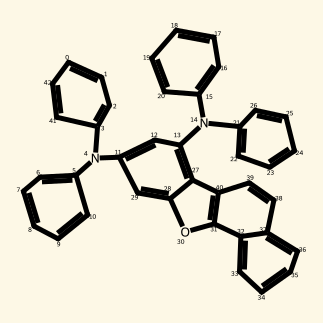 c1ccc(N(c2ccccc2)c2cc(N(c3ccccc3)c3ccccc3)c3c(c2)oc2c4ccccc4ccc23)cc1